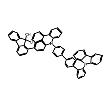 CC1(C)c2ccccc2-c2cccc(-c3ccc(N(c4ccc(-c5ccc(-c6ccccc6-n6c7ccccc7c7ccccc76)cc5)cc4)c4ccccc4-c4ccccc4)cc3)c21